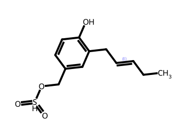 CC/C=C/Cc1cc(CO[SH](=O)=O)ccc1O